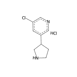 Cl.Clc1cncc(C2CCNC2)c1